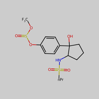 CCCS(=O)(=O)NC1CCCC1(O)c1ccc(OS(=O)OC(F)(F)F)cc1